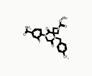 CC(C)(C)OC(=O)N1CC2(C1)C(=O)N(c1ccc(C(N)=O)cc1F)CC(=O)N2Cc1ccc(C(F)(F)F)cc1